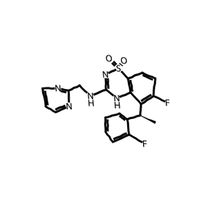 C[C@@H](c1ccccc1F)c1c(F)ccc2c1NC(NCc1ncccn1)=NS2(=O)=O